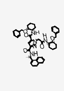 C[C@H](NC(=O)c1cc(C(=O)N[C@H]2CCCC[C@@H]2OCc2ccccc2)n(CC(=O)N[C@H]2CCCC[C@@H]2OCc2ccccc2)n1)c1cccc2ccccc12